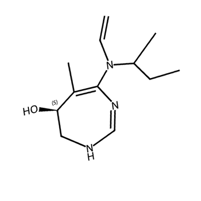 C=CN(C1=C(C)[C@H](O)CNC=N1)C(C)CC